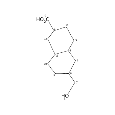 O=C(O)C1CCC2CC(CO)CCC2C1